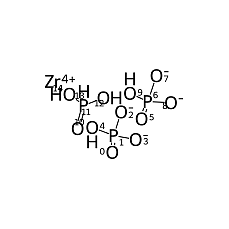 O=P([O-])([O-])O.O=P([O-])([O-])O.O=[PH](O)O.[Zr+4]